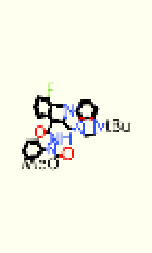 COC(=O)N(NC(=O)c1c(CN2CCN(C(C)(C)C)CC2)[n+](-c2ccccc2)cc2c(F)cccc12)c1ccccc1